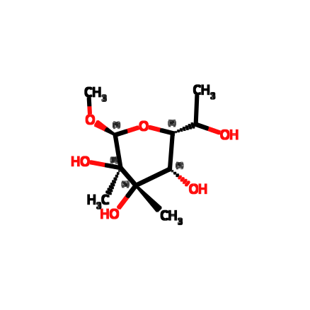 CO[C@H]1O[C@H](C(C)O)[C@H](O)[C@](C)(O)[C@@]1(C)O